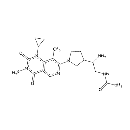 Cc1c(N2CCC(C(N)CNC(N)=O)C2)ncc2c(=O)n(N)c(=O)n(C3CC3)c12